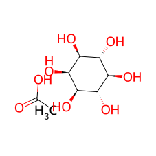 CC(=O)O.O[C@H]1[C@H](O)[C@@H](O)[C@H](O)[C@@H](O)[C@H]1O